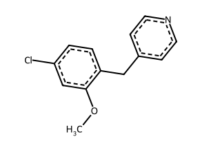 COc1cc(Cl)ccc1Cc1ccncc1